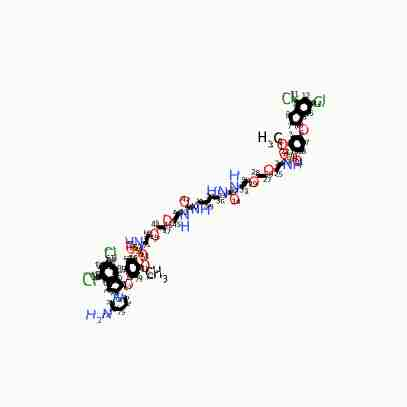 COc1cc(O[C@@H]2CCc3c(Cl)cc(Cl)cc32)ccc1S(=O)(=O)NCCOCCOCCNC(=O)NCCCCNC(=O)NCCOCCOCCNS(=O)(=O)c1ccc(O[C@H]2c3cc(Cl)cc(Cl)c3C[C@@H]2N2CCC[C@@H](N)C2)cc1OC